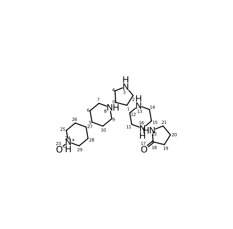 C1CCNC1.C1CCNCC1.C1CNCCN1.O=C1CCCN1.[O-][NH+]1CCCCC1